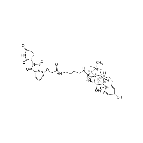 C[C@]12C[C@H]3[C@@H]4CCC5=CC(O)C=C[C@]5(C)[C@@]4(F)[C@@H](O)C[C@]3(C)[C@]1(C(=O)NCCCCNC(=O)COc1cccc3c1C(=O)N(C1CCC(=O)NC1=O)C3=O)C2